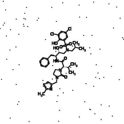 Cc1nc(CN2CCN([C@H](C(=O)N[C@@H](Cc3ccccc3)[C@H](O)CN(CC(C)C)S(=O)(=O)c3cc(Cl)cc(Cl)c3O)C(C)C)C2=O)cs1